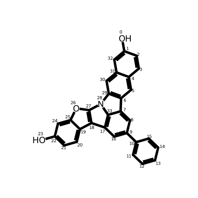 Oc1ccc2cc3c4cc(-c5ccccc5)cc5c6c7ccc(O)cc7oc6n(c3cc2c1)c45